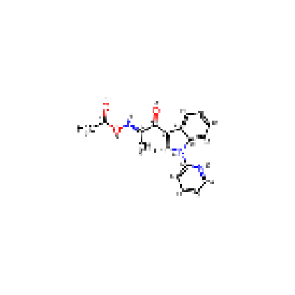 CC(=O)O/N=C(\C)C(=O)c1cn(-c2ccccn2)c2ccccc12